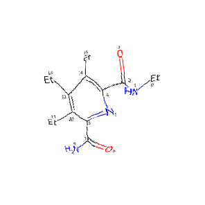 CCNC(=O)c1nc(C(N)=O)c(CC)c(CC)c1CC